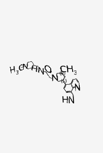 C[C@@H]1C[C@@H](c2ccc(C=N)c3ncccc23)CN(CC(=O)NCC2CCN(C)CC2)C1